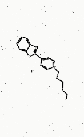 CCCCCC[n+]1ccc(-c2nc3ccccc3s2)cc1.[I-]